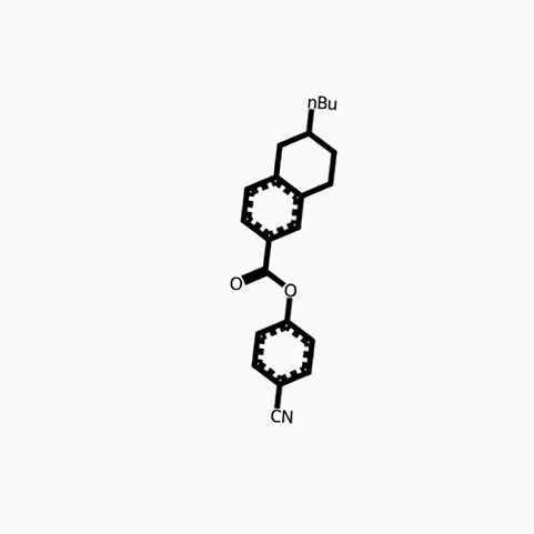 CCCCC1CCc2cc(C(=O)Oc3ccc(C#N)cc3)ccc2C1